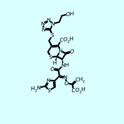 C=C(ON=C(C(=O)N[C@@H]1C(=O)N2C(C(=O)O)=C(CSc3nnnn3CCO)CS[C@@H]12)c1csc(N)n1)C(=O)O